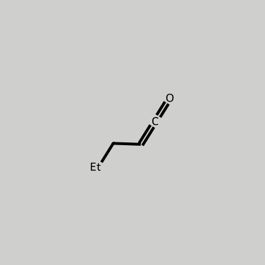 [CH]CCC=C=O